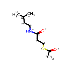 CC(=O)SCCC(=O)NCCC(C)C